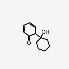 O=C1[C]=CC=CC1C1(O)CCCCC1